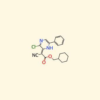 N#CC(C(=O)OCC1CCCCC1)=C1NC(c2ccccc2)=CN=C1Cl